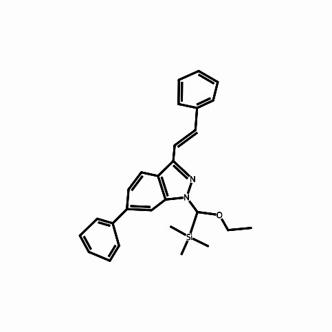 CCOC(n1nc(C=Cc2ccccc2)c2ccc(-c3ccccc3)cc21)[Si](C)(C)C